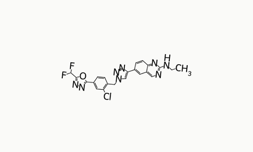 CCNc1ncc2cc(-c3cn(Cc4ccc(-c5nnc(C(F)F)o5)cc4Cl)nn3)ccc2n1